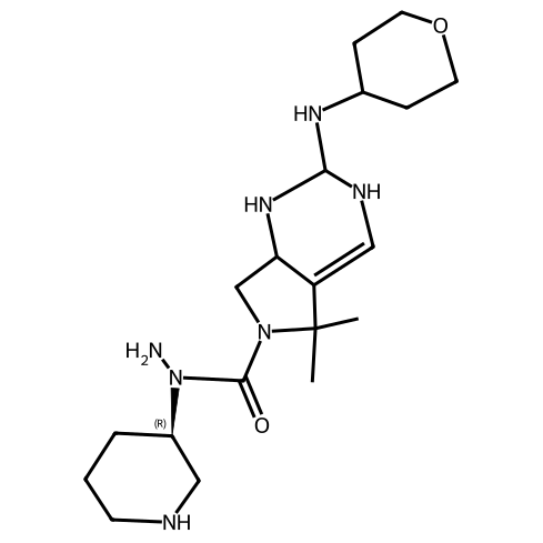 CC1(C)C2=CNC(NC3CCOCC3)NC2CN1C(=O)N(N)[C@@H]1CCCNC1